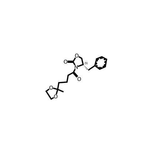 CC1(CCCC(=O)N2C(=O)OC[C@@H]2Cc2ccccc2)OCCO1